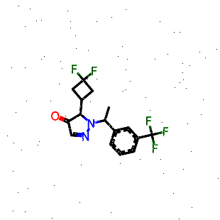 CC(c1cccc(C(F)(F)F)c1)N1N=CC(=O)C1C1CC(F)(F)C1